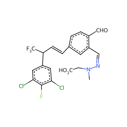 CN(CC(=O)O)/N=C\c1cc(/C=C/C(c2cc(Cl)c(F)c(Cl)c2)C(F)(F)F)ccc1C=O